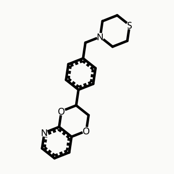 c1cnc2c(c1)OCC(c1ccc(CN3CCSCC3)cc1)O2